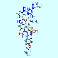 CC(N)CNc1nc(NCC(C)N)nc(Nc2cccc(C(=O)Nc3ccc4c(O)c(NNc5ccc(OCCN(C)C)cc5)c(S(=O)(=O)O)cc4c3)c2)n1